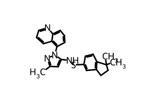 Cc1cc(NSc2ccc3c(c2)CCC3(C)C)n(-c2cccc3ncccc23)n1